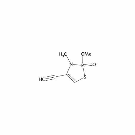 C#CC1=CSP(=O)(OC)N1C